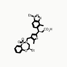 CC[C@@H]1CN(Cc2cc([C@H](CC(=O)O)c3ccc4c(nnn4CC)c3C)sc2C)S(=O)(=O)c2ccccc2O1